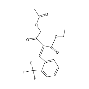 CCOC(=O)C(=Cc1ccccc1C(F)(F)F)C(=O)COC(C)=O